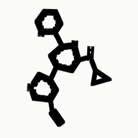 C#Cc1cncc(-c2cc(NC3CC3)nc(-c3ccccn3)c2)c1